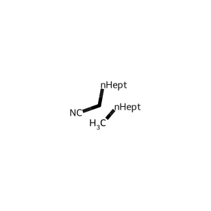 CCCCCCCC.CCCCCCCCC#N